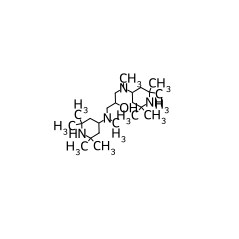 CN(CC(O)CN(C)C1CC(C)(C)NC(C)(C)C1)C1CC(C)(C)NC(C)(C)C1